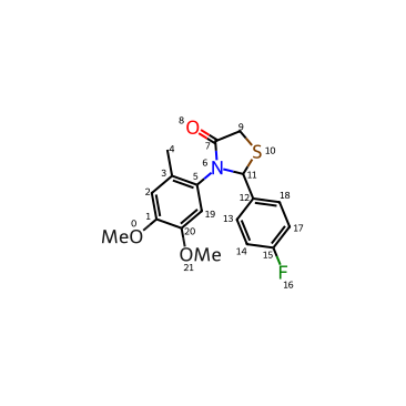 COc1cc(C)c(N2C(=O)CSC2c2ccc(F)cc2)cc1OC